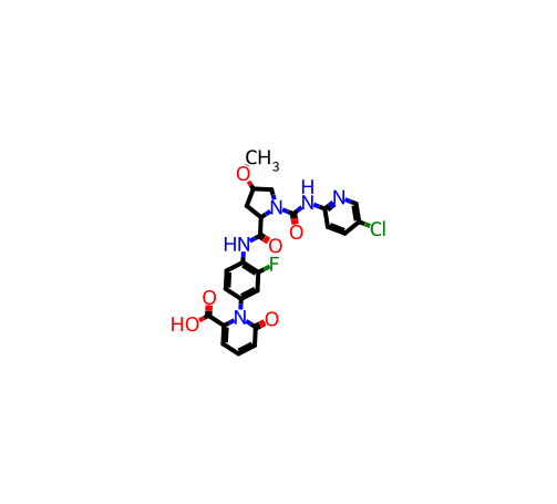 COC1CC(C(=O)Nc2ccc(-n3c(C(=O)O)cccc3=O)cc2F)N(C(=O)Nc2ccc(Cl)cn2)C1